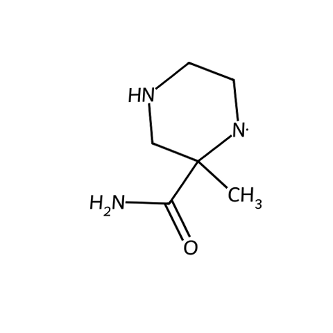 CC1(C(N)=O)CNCC[N]1